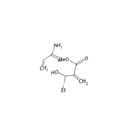 C=C(C(=O)OC)C(O)CC.C=CC(N)=O